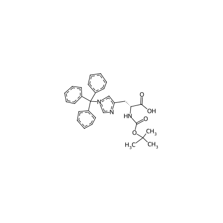 CC(C)(C)OC(=O)N[C@H](Cc1cn(C(c2ccccc2)(c2ccccc2)c2ccccc2)cn1)C(=O)O